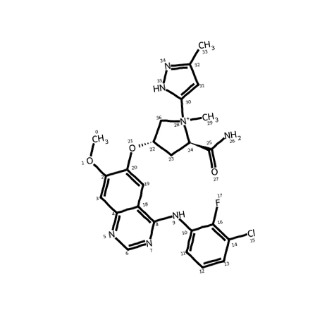 COc1cc2ncnc(Nc3cccc(Cl)c3F)c2cc1O[C@H]1C[C@H](C(N)=O)[N+](C)(c2cc(C)n[nH]2)C1